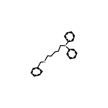 c1ccc(COCCCCCP(c2ccccc2)c2ccccc2)cc1